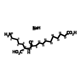 NCCCC[C@H](NC(=O)CCCCCCCCCC(=O)O)C(=O)O.[NaH]